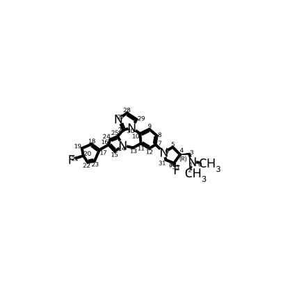 CN(C)C[C@@H]1CN(c2ccc3c(c2)Cn2cc(C4=CCC(F)C=C4)cc2-c2nccn2-3)C[C@@H]1F